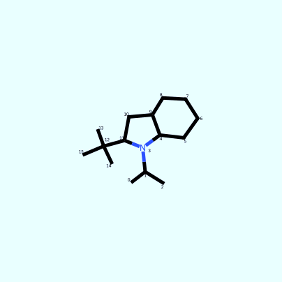 CC(C)N1C2CCCCC2CC1C(C)(C)C